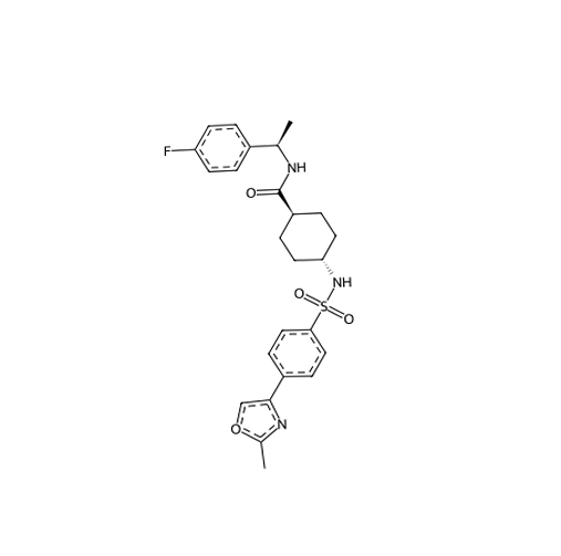 Cc1nc(-c2ccc(S(=O)(=O)N[C@H]3CC[C@H](C(=O)N[C@H](C)c4ccc(F)cc4)CC3)cc2)co1